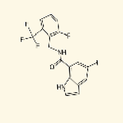 O=C(NCc1c(F)cccc1C(F)(F)F)c1cc(I)cc2cc[nH]c12